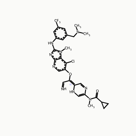 CN(C)Cc1cc(Nc2nc3ncc(O/C(C=N)=C4\C=NC(N(C)C(=O)C5CC5)=CN4)c(Cl)c3n2C)cc(C(F)(F)F)c1